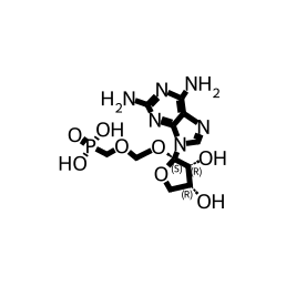 Nc1nc(N)c2ncn([C@]3(OCOCP(=O)(O)O)OC[C@@H](O)[C@H]3O)c2n1